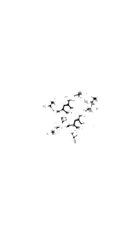 Cc1nc(N2CC(N)C2)c(C#N)cc1C(=O)OCC(C)(C)C.Cc1nc(N2CC(NC(=O)OC(C)(C)C)C2)c(C#N)cc1C(=O)OCC(C)(C)C.O=C(O)C(F)(F)F.O=C(O)C(F)(F)F